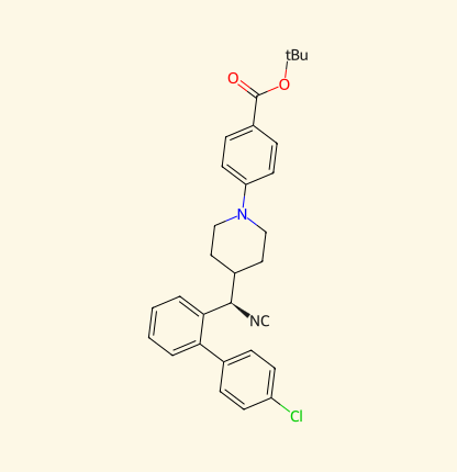 [C-]#[N+][C@@H](c1ccccc1-c1ccc(Cl)cc1)C1CCN(c2ccc(C(=O)OC(C)(C)C)cc2)CC1